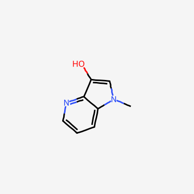 Cn1cc(O)c2ncccc21